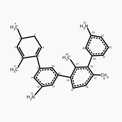 CC1=CC(C)CC=C1c1cc(N)cc(-c2ccc(C)c(-c3cccc(N)c3)c2C)c1